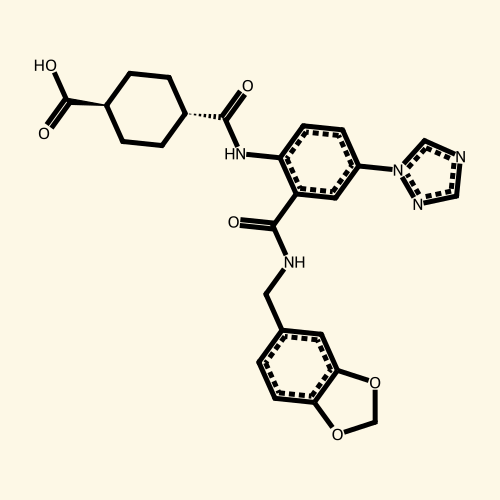 O=C(NCc1ccc2c(c1)OCO2)c1cc(-n2cncn2)ccc1NC(=O)[C@H]1CC[C@H](C(=O)O)CC1